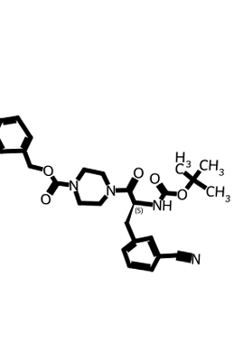 CC(C)(C)OC(=O)N[C@@H](Cc1cccc(C#N)c1)C(=O)N1CCN(C(=O)OCc2ccccc2)CC1